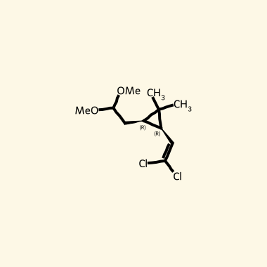 COC(C[C@@H]1[C@H](C=C(Cl)Cl)C1(C)C)OC